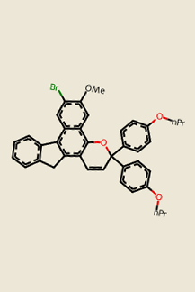 CCCOc1ccc(C2(c3ccc(OCCC)cc3)C=Cc3c4c(c5cc(Br)c(OC)cc5c3O2)-c2ccccc2C4)cc1